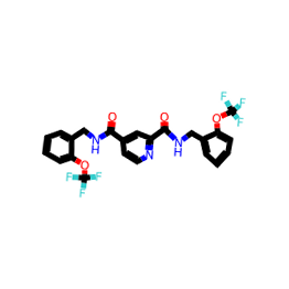 O=C(NCc1ccccc1OC(F)(F)F)c1ccnc(C(=O)NCc2ccccc2OC(F)(F)F)c1